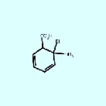 CCC1([SiH3])C=CC=CC1C(=O)O